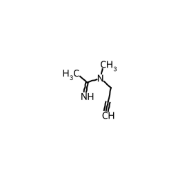 C#CCN(C)C(C)=N